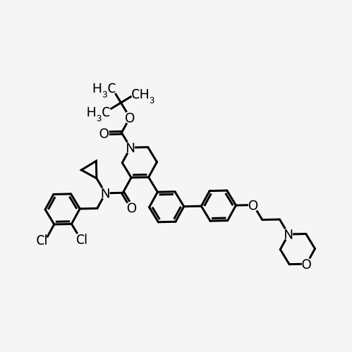 CC(C)(C)OC(=O)N1CCC(c2cccc(-c3ccc(OCCN4CCOCC4)cc3)c2)=C(C(=O)N(Cc2cccc(Cl)c2Cl)C2CC2)C1